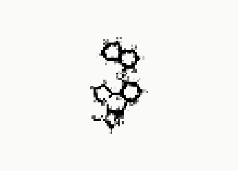 Cn1cncc1N1CCCC1c1c(C#N)cccc1Oc1cccc2ccccc12